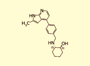 Cc1cc2c(-c3ccc(CN[C@H]4CCCC[C@@H]4O)cc3)ccnc2[nH]1